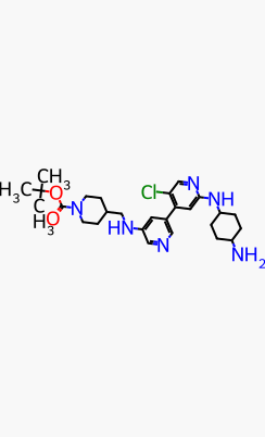 CC(C)(C)OC(=O)N1CCC(CNc2cncc(-c3cc(NC4CCC(N)CC4)ncc3Cl)c2)CC1